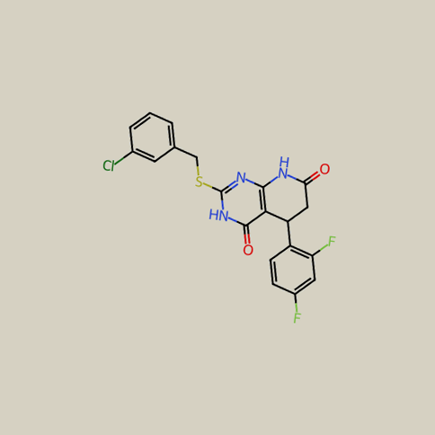 O=C1CC(c2ccc(F)cc2F)c2c(nc(SCc3cccc(Cl)c3)[nH]c2=O)N1